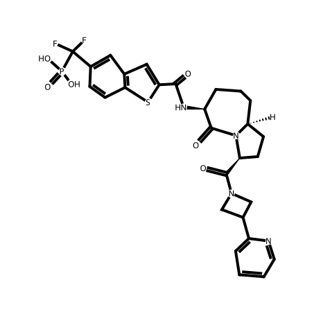 O=C(N[C@H]1CCC[C@H]2CC[C@@H](C(=O)N3CC(c4ccccn4)C3)N2C1=O)c1cc2cc(C(F)(F)P(=O)(O)O)ccc2s1